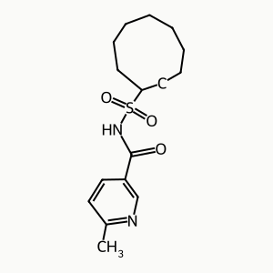 Cc1ccc(C(=O)NS(=O)(=O)C2CCCCCCCC2)cn1